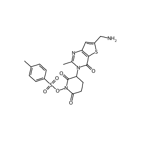 Cc1ccc(S(=O)(=O)ON2C(=O)CCC(n3c(C)nc4cc(CN)sc4c3=O)C2=O)cc1